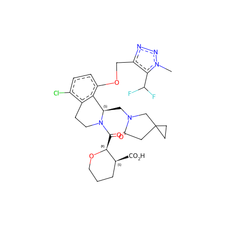 Cn1nnc(COc2ccc(Cl)c3c2[C@@H](CN2CC4(CC4)CC2=O)N(C(=O)[C@@H]2OCCC[C@@H]2C(=O)O)CC3)c1C(F)F